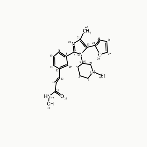 CCN1CCC[C@@H](n2c(-c3cccc(C=CC(=O)NO)c3)nc(C)c2-c2ccco2)C1